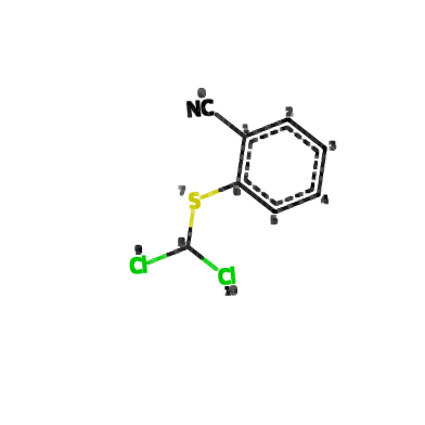 N#Cc1ccccc1SC(Cl)Cl